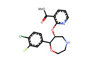 COC(=O)c1cccnc1O[C@H]1CNCCOC1c1ccc(Cl)c(F)c1